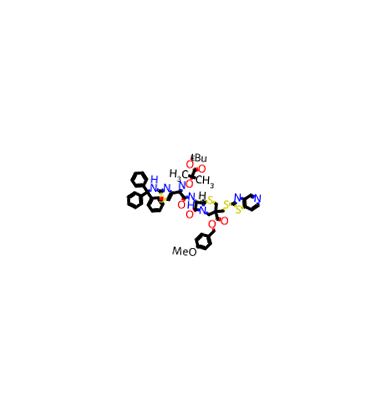 COc1ccc(COC(=O)C2(CSc3nc4cnccc4s3)CS[C@@H]3C(NC(=O)C(=NOC(C)(C)C(=O)OC(C)(C)C)c4csc(NC(c5ccccc5)(c5ccccc5)c5ccccc5)n4)C(=O)N3C2)cc1